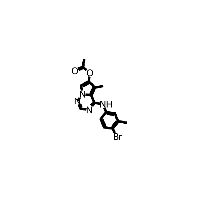 CC(=O)Oc1cn2ncnc(Nc3ccc(Br)c(C)c3)c2c1C